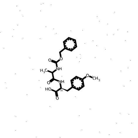 COc1ccc(C[C@H](NC(=O)C(C)NC(=O)OCc2ccccc2)C(=O)O)cc1